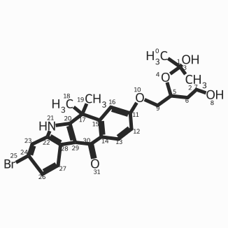 CC(C)(O)OC(CCO)COc1ccc2c(c1)C(C)(C)c1[nH]c3cc(Br)ccc3c1C2=O